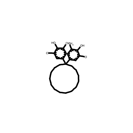 Cc1cc(C2(c3cc(C)c(O)c(Cl)c3)CCCCCCCCCCCCCC2)cc(Cl)c1O